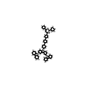 c1ccc(-c2cc(-c3ccc(-c4ccc(-c5ccc(-n6c7ccc(-n8c9ccccc9c9ccccc98)cc7c7cc(-n8c9ccccc9c9ccccc98)ccc76)cc5)cc4)cc3)nc(-c3ccccc3)n2)cc1